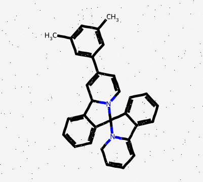 Cc1cc(C)cc(C2=CC3c4ccccc4C4(c5ccccc5C5=CC=CCN54)N3C=C2)c1